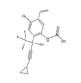 C=Cc1cc(NC(=O)O)c(C(O)(C#CC2CC2)C(F)(F)F)cc1Cl